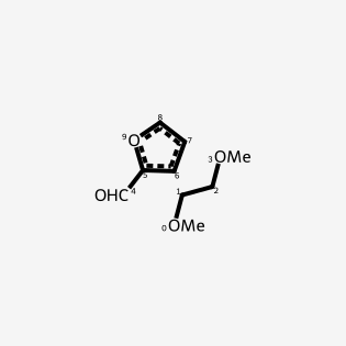 COCCOC.O=Cc1ccco1